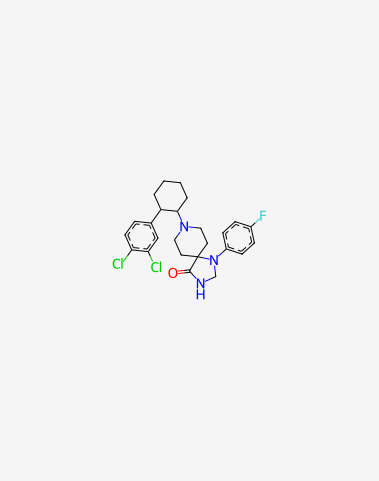 O=C1NCN(c2ccc(F)cc2)C12CCN(C1CCCCC1c1ccc(Cl)c(Cl)c1)CC2